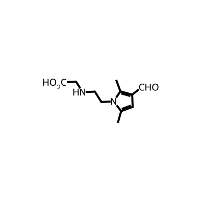 Cc1cc(C=O)c(C)n1CCNCC(=O)O